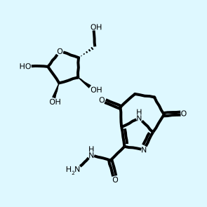 NNC(=O)c1nc2[nH]c1C(=O)CCC2=O.OC[C@H]1OC(O)[C@H](O)[C@@H]1O